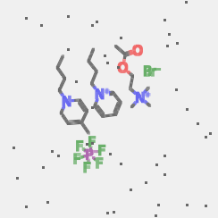 CC(=O)OCC[N+](C)(C)C.CCCCN1C=CC(C)=CC1.CCCC[n+]1ccccc1.F[P-](F)(F)(F)(F)F.[Br-]